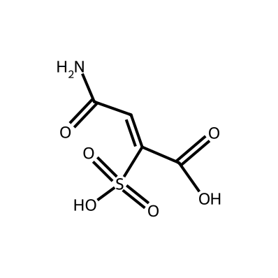 NC(=O)C=C(C(=O)O)S(=O)(=O)O